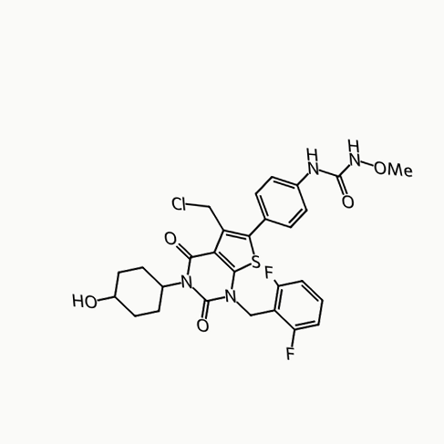 CONC(=O)Nc1ccc(-c2sc3c(c2CCl)c(=O)n(C2CCC(O)CC2)c(=O)n3Cc2c(F)cccc2F)cc1